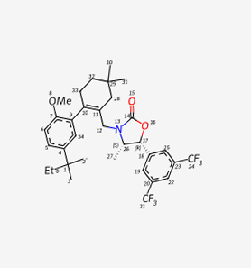 [CH2]CC([CH2])(C)c1ccc(OC)c(C2=C(CN3C(=O)O[C@H](c4cc(C(F)(F)F)cc(C(F)(F)F)c4)[C@@H]3C)CC(C)(C)CC2)c1